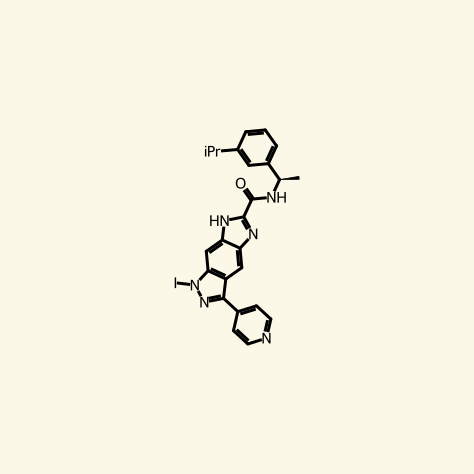 CC(C)c1cccc([C@@H](C)NC(=O)c2nc3cc4c(-c5ccncc5)nn(I)c4cc3[nH]2)c1